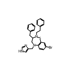 Brc1ccc2c(c1)SN(CCc1ccccc1)C(Cc1ccccc1)CN2Cc1c[nH]cn1